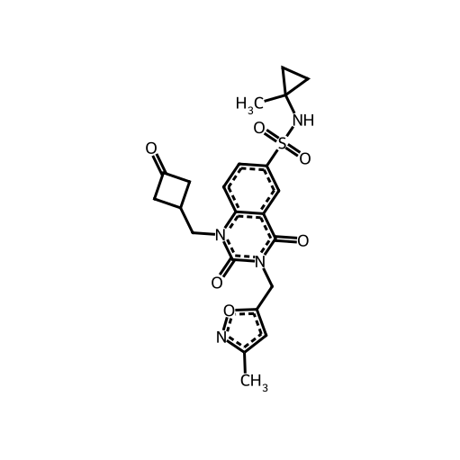 Cc1cc(Cn2c(=O)c3cc(S(=O)(=O)NC4(C)CC4)ccc3n(CC3CC(=O)C3)c2=O)on1